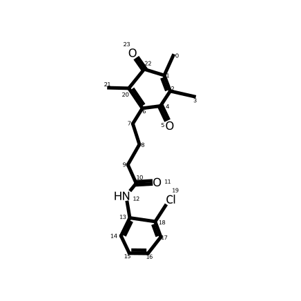 CC1=C(C)C(=O)C(CCCC(=O)Nc2ccccc2Cl)=C(C)C1=O